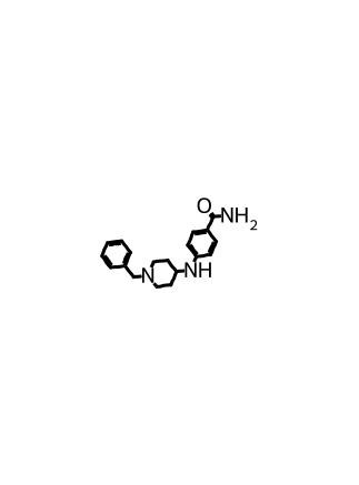 NC(=O)c1ccc(NC2CCN(Cc3ccccc3)CC2)cc1